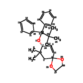 CC1(C)CC2(C=C[C@H]1O[Si](c1ccccc1)(c1ccccc1)C(C)(C)C)OCCO2